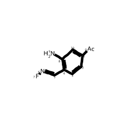 CC(=O)c1ccc(C=NF)c(N)c1